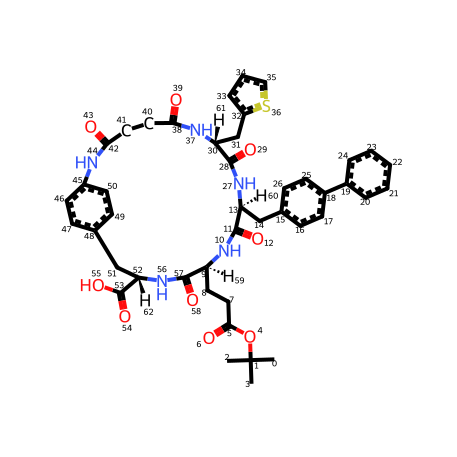 CC(C)(C)OC(=O)CC[C@@H]1NC(=O)[C@H](Cc2ccc(-c3ccccc3)cc2)NC(=O)[C@@H](Cc2cccs2)NC(=O)CCC(=O)Nc2ccc(cc2)C[C@@H](C(=O)O)NC1=O